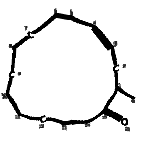 CC1CC=CCCCCCCCCCCC1=O